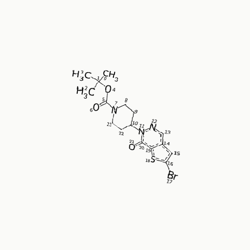 CC(C)(C)OC(=O)N1CCC(n2ncc3cc(Br)sc3c2=O)CC1